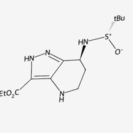 CCOC(=O)c1[nH]nc2c1NCC[C@@H]2N[S@@+]([O-])C(C)(C)C